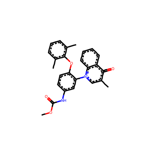 COC(=O)Nc1ccc(Oc2c(C)cccc2C)c(-n2cc(C)c(=O)c3ccccc32)c1